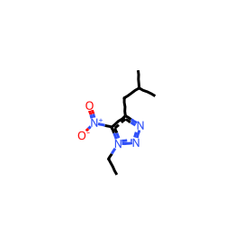 CCn1nnc(CC(C)C)c1[N+](=O)[O-]